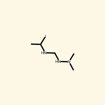 CC(I)NCNN(C)C